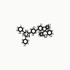 c1ccc(-c2nc(-c3ccccc3)nc(-c3ccc(-c4ccc5c(c4)C4(c6ccccc6Oc6ccccc64)c4ccccc4-5)cc3)n2)cc1